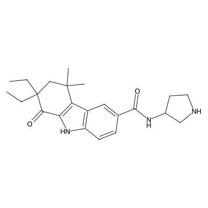 CCC1(CC)CC(C)(C)c2c([nH]c3ccc(C(=O)NC4CCNC4)cc23)C1=O